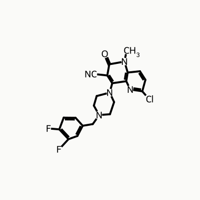 Cn1c(=O)c(C#N)c(N2CCN(Cc3ccc(F)c(F)c3)CC2)c2nc(Cl)ccc21